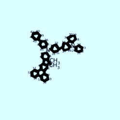 CC1(C)C2=C(C=CC(N(c3ccc(C4=Cc5c6c(n(-c7ccccc7)c5CC4)CCC=C6)cc3)c3ccc(-c4ccccc4)cc3)C2)c2cc3c4ccccc4c4ccccc4c3cc21